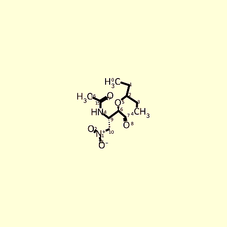 CCC(CC)O[C@@H](C=O)[C@H](C[N+](=O)[O-])NC(C)=O